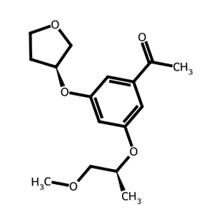 COC[C@H](C)Oc1cc(O[C@H]2CCOC2)cc(C(C)=O)c1